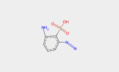 [N]=Nc1cccc(N)c1S(=O)(=O)O